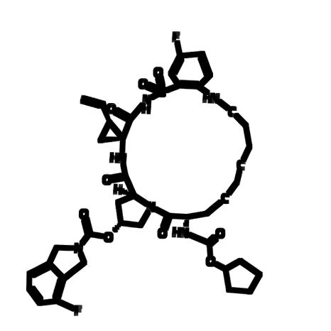 C=C[C@@H]1C[C@@]12NC(=O)[C@@H]1C[C@@H](OC(=O)N3Cc4cccc(F)c4C3)CN1C(=O)[C@@H](NC(=O)OC1CCCC1)CCCCCCCNc1ccc(F)cc1S(=O)(=O)NC2=O